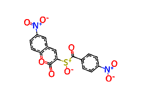 O=C(c1ccc([N+](=O)[O-])cc1)[S+]([O-])c1cc2cc([N+](=O)[O-])ccc2oc1=O